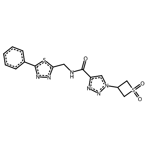 O=C(NCc1nnc(-c2ccccc2)s1)c1cn(C2CS(=O)(=O)C2)nn1